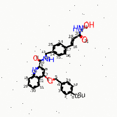 CC(C)(C)c1ccc(COc2cc(C(=O)NCc3ccc(/C=C/C(=O)NO)cc3)nc3ccccc23)cc1